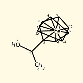 CC(O)[C]12[CH]3[CH]4[CH]5[CH]1[Fe]45321678[CH]2[CH]1[CH]6[CH]7[CH]28